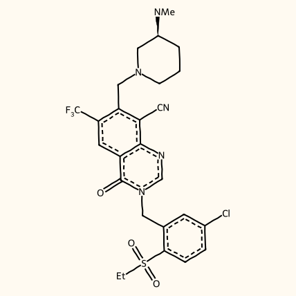 CCS(=O)(=O)c1ccc(Cl)cc1Cn1cnc2c(C#N)c(CN3CCC[C@H](NC)C3)c(C(F)(F)F)cc2c1=O